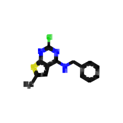 Cc1cc2c(NCc3ccccc3)nc(Cl)nc2s1